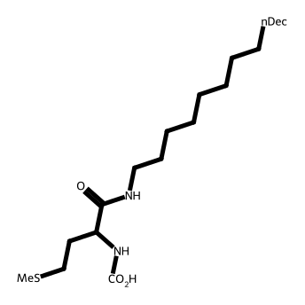 CCCCCCCCCCCCCCCCCCNC(=O)C(CCSC)NC(=O)O